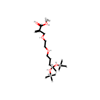 C=C(COCCOCCC[Si](C)(O[Si](C)(C)C)O[Si](C)(C)C)C(=O)OCCCC